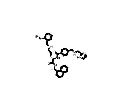 CC(C)Oc1ccccc1CNCCC[C@H](NC(=O)c1ccc(CNCc2ncc[nH]2)cc1)C(=O)N[C@@H](C)c1cccc2ccccc12